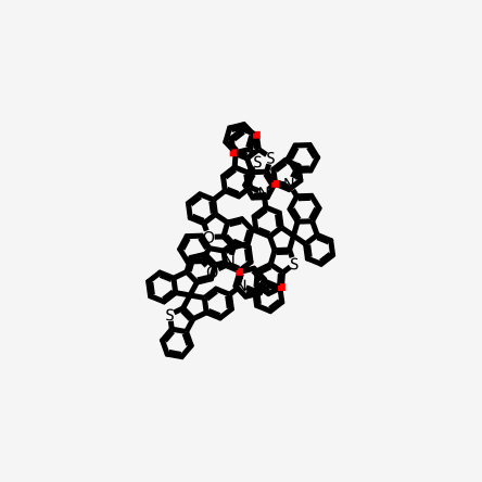 c1ccc(N(c2ccc3c(c2)C2(c4ccccc4-c4ccc(N(c5ccccc5)c5cccc6c5oc5cccc(-c7cc(N(c8ccccc8)c8ccc9c(c8)C8(c%10ccccc%10-c%10ccc(N(c%11ccccc%11)c%11cccc%12c%11sc%11ccccc%11%12)cc%108)c8sc%10ccccc%10c8-9)c8sc9ccccc9c8c7)c56)cc42)c2sc4ccccc4c2-3)c2cccc3c2oc2ccccc23)cc1